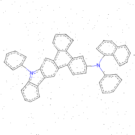 c1ccc(N(c2ccc3c(c2)c2ccccc2c2cc4c(cc32)c2ccccc2n4-c2ccccc2)c2cccc3ccccc23)cc1